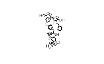 C[C@H](N[C@@H](CCc1ccccc1)C(=O)O)C(=O)N1CC(Oc2ccc(CC3Nc4cc(Cl)c(S(N)(=O)=O)cc4S(=O)(=O)N3)cc2)C[C@H]1C(=O)O